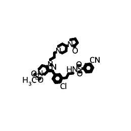 CS(=O)(=O)N1CCc2c(c(-c3ccc(Cl)c(CCCNS(=O)(=O)c4cccc(C#N)c4)c3)nn2CCCN2CCC(N3CCCC3=O)CC2)C1